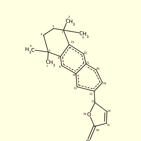 CC1(C)CCC(C)(C)c2cc3cc(C4C=CC(=O)O4)ccc3cc21